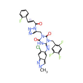 Cn1cc2cc(/N=c3\[nH]c(=O)n(Cc4cnnn4C(=O)/C=C/c4ccccc4F)c(=O)n3Cc3cc(F)c(F)cc3F)c(Cl)cc2n1